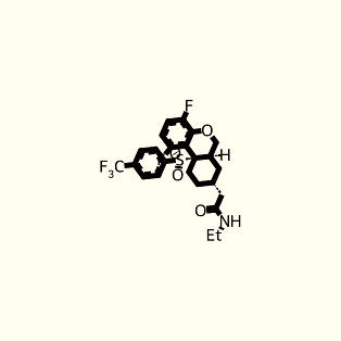 CCNC(=O)C[C@@H]1CC[C@@]2(S(=O)(=O)c3ccc(C(F)(F)F)cc3)c3c(F)ccc(F)c3OC[C@H]2C1